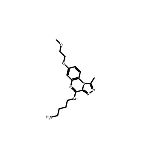 COCCOc1ccc2c(c1)nc(NCCCCN)c1nnc(C)n12